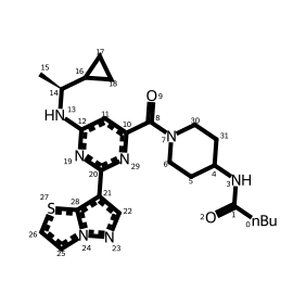 CCCCC(=O)NC1CCN(C(=O)c2cc(N[C@@H](C)C3CC3)nc(-c3cnn4ccsc34)n2)CC1